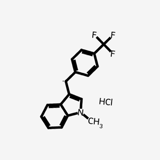 Cl.Cn1cc([CH]c2ccc(C(F)(F)F)cc2)c2ccccc21